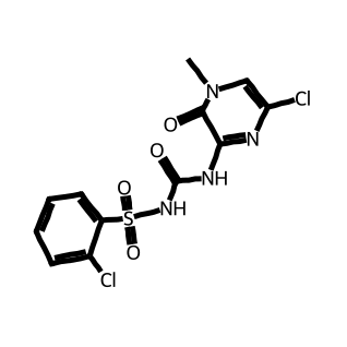 Cn1cc(Cl)nc(NC(=O)NS(=O)(=O)c2ccccc2Cl)c1=O